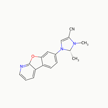 C[C@H]1N(C)C(C#N)=CN1c1ccc2c(c1)oc1ncccc12